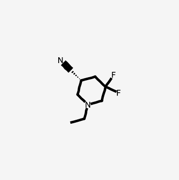 CCN1C[C@H](C#N)CC(F)(F)C1